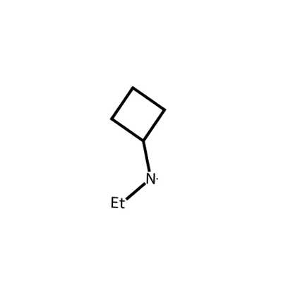 CC[N]C1CCC1